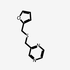 c1coc(CSCc2cnccn2)c1